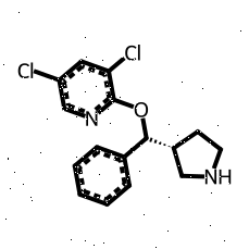 Clc1cnc(OC(c2ccccc2)[C@@H]2CCNC2)c(Cl)c1